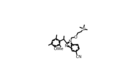 COc1cc(C)cc(C)c1C(C)c1nc2cc(C#N)ccc2n1COCC[Si](C)(C)C